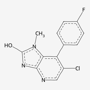 Cn1c(O)nc2ncc(Cl)c(-c3ccc(F)cc3)c21